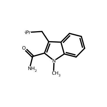 C[C](C)Cc1c(C(N)=O)n(C)c2ccccc12